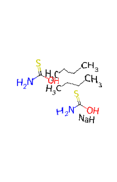 CCCC.CCCC.NC(O)=S.NC(O)=S.[NaH]